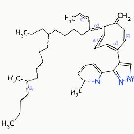 C=C1\C=C/C(c2c[nH]nc2-c2cccc(C)n2)=C/C=C/C1=C(/C=C\C)CCCCC(CCC)CCCCC/C(C)=C/CCC